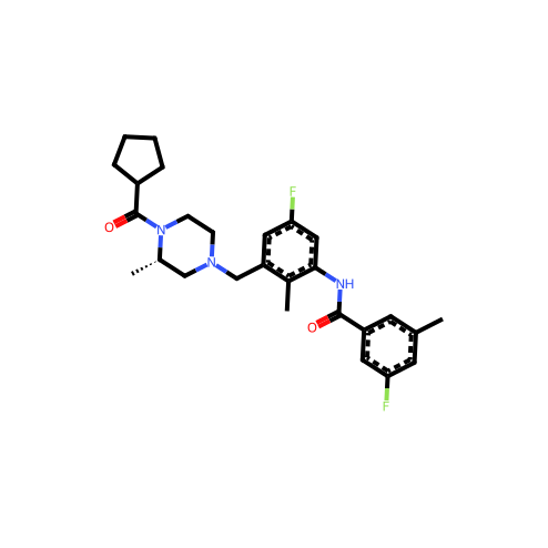 Cc1cc(F)cc(C(=O)Nc2cc(F)cc(CN3CCN(C(=O)C4CCCC4)[C@@H](C)C3)c2C)c1